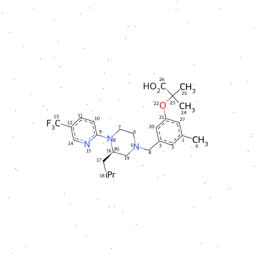 Cc1cc(CN2CCN(c3ccc(C(F)(F)F)cn3)[C@H](CC(C)C)C2)cc(OC(C)(C)C(=O)O)c1